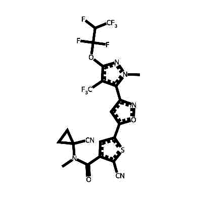 CN(C(=O)c1cc(-c2cc(-c3c(C(F)(F)F)c(OC(F)(F)C(F)C(F)(F)F)nn3C)no2)sc1C#N)C1(C#N)CC1